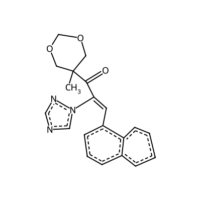 CC1(C(=O)C(=Cc2cccc3ccccc23)n2cncn2)COCOC1